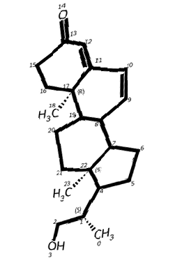 C[C@H](CO)C1CCC2C3C=CC4=CC(=O)CC[C@]4(C)C3CC[C@@]21C